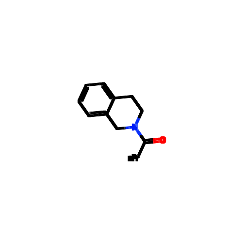 CCCC(=O)N1CCc2ccccc2C1